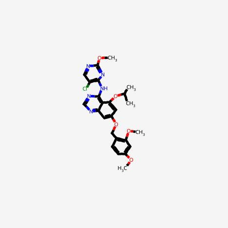 COc1ccc(COc2cc(OC(C)C)c3c(Nc4nc(OC)ncc4Cl)ncnc3c2)c(OC)c1